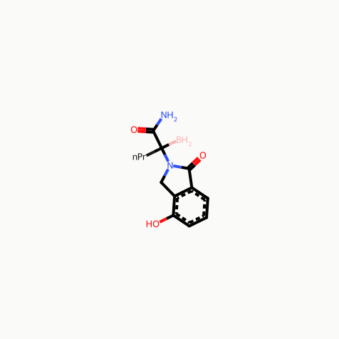 BC(CCC)(C(N)=O)N1Cc2c(O)cccc2C1=O